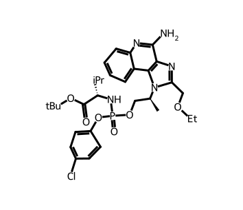 CCOCc1nc2c(N)nc3ccccc3c2n1[C@@H](C)COP(=O)(N[C@H](C(=O)OC(C)(C)C)C(C)C)Oc1ccc(Cl)cc1